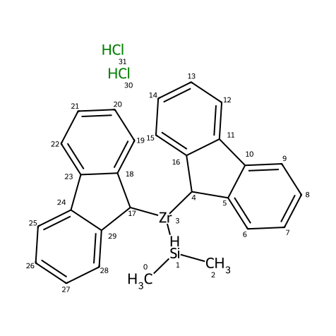 C[SiH](C)[Zr]([CH]1c2ccccc2-c2ccccc21)[CH]1c2ccccc2-c2ccccc21.Cl.Cl